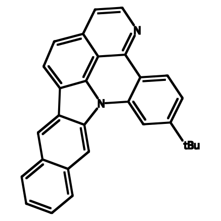 CC(C)(C)c1ccc2c3nccc4ccc5c6cc7ccccc7cc6n(c2c1)c5c43